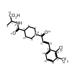 CC(NC(=O)C1CCN(C(=O)C=Cc2cccc(C(F)(F)F)c2Cl)CC1)C(=O)O